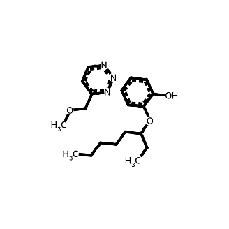 CCCCCC(CC)Oc1ccccc1O.COCc1ccnnn1